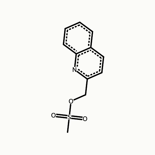 CS(=O)(=O)OCc1ccc2ccccc2n1